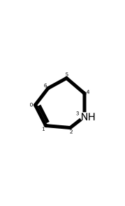 [C]1=CCNCCC1